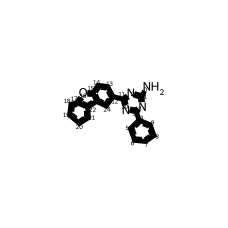 Nc1nc(-c2ccccc2)nc(-c2ccc3oc4ccccc4c3c2)n1